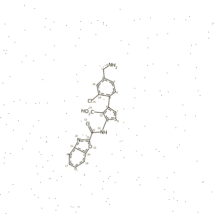 NCc1ccc(-c2csc(NC(=O)c3nc4ccccc4o3)c2C(=O)O)c(Cl)c1